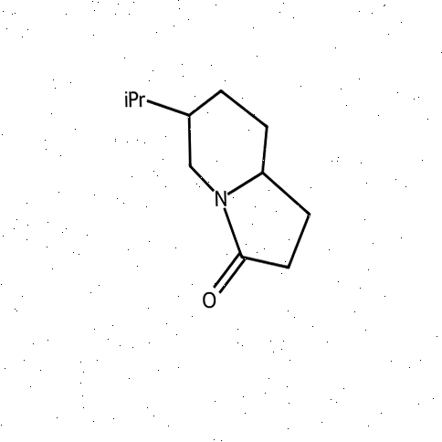 CC(C)C1CCC2CCC(=O)N2C1